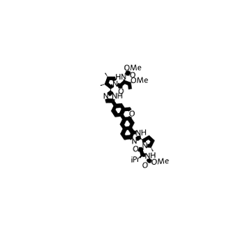 COC(=O)N[C@H](C(=O)N1[C@@H](C)CC[C@H]1c1nc2ccc3cc4c(cc3c2[nH]1)OCc1cc(-c2cnc([C@@H]3[C@H](C)[C@H](C)CN3C(=O)[C@@H](NC(=O)OC)[C@@H](C)OC)[nH]2)ccc1-4)C(C)C